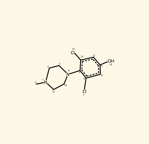 CN1CCN(c2c(Cl)cc(O)cc2Cl)CC1